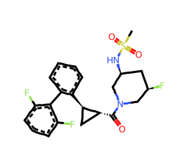 CS(=O)(=O)N[C@H]1C[C@@H](F)CN(C(=O)[C@@H]2C[C@H]2c2ccccc2-c2c(F)cccc2F)C1